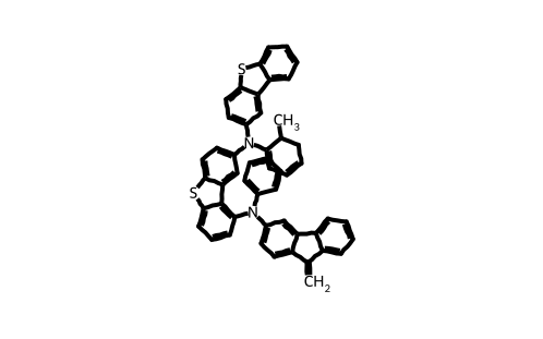 C=C1c2ccccc2-c2cc(N(c3ccccc3)c3cccc4sc5ccc(N(C6=CC=CCC6C)c6ccc7sc8ccccc8c7c6)cc5c34)ccc21